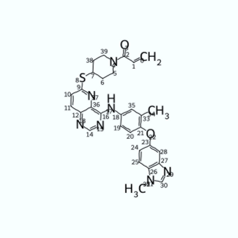 C=CC(=O)N1CCC(Sc2ccc3ncnc(Nc4ccc(Oc5ccc6c(c5)ncn6C)c(C)c4)c3n2)CC1